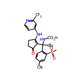 CC(C)(C)C(NC(=O)O)(C1=C(Nc2ccnc(C(F)(F)F)c2)CCC1=O)c1ccc(C#N)cc1S(C)(=O)=O